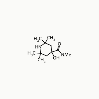 CNC(=O)C1(O)CC(C)(C)NC(C)(C)C1